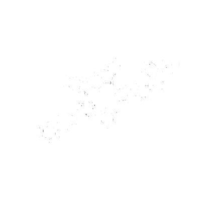 CC1(C)CCC(C)(C)c2c(-c3cccc(-c4cccc(-n5c6ccccc6c6cc7c8ccccc8n(-c8nc(C9=CCC(c%10ccccc%10)C=C9)nc(-c9ccccc9)n8)c7cc65)c4)c3)cccc21